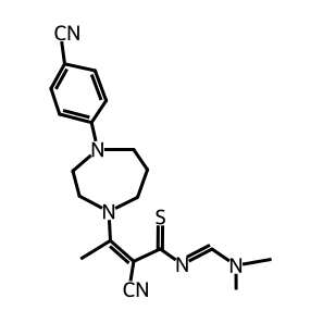 CC(=C(C#N)C(=S)N=CN(C)C)N1CCCN(c2ccc(C#N)cc2)CC1